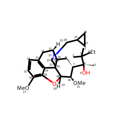 CCC(C)(C)[C@@](C)(O)[C@H]1C[C@]2(CC)[C@H]3Cc4ccc(OC)c5c4[C@@]2(CCN3CC2CC2)[C@@H](O5)[C@@H]1OC